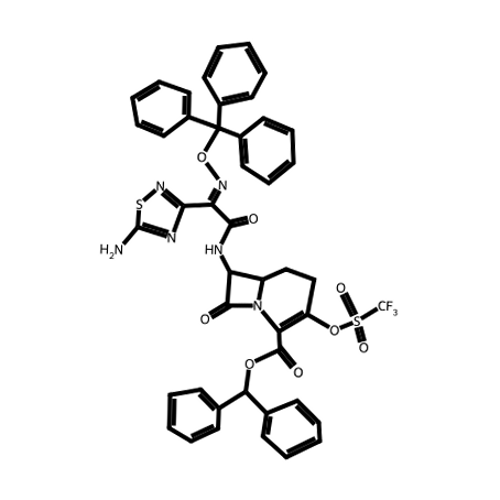 Nc1nc(/C(=N\OC(c2ccccc2)(c2ccccc2)c2ccccc2)C(=O)NC2C(=O)N3C(C(=O)OC(c4ccccc4)c4ccccc4)=C(OS(=O)(=O)C(F)(F)F)CCC23)ns1